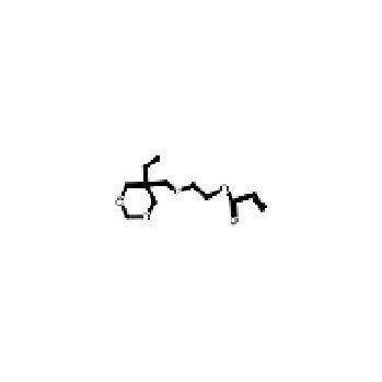 C=CC(=O)OCCOCC1(CC)COCOC1